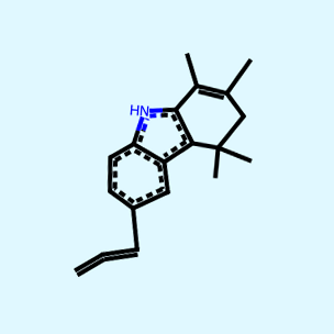 C=C=Cc1ccc2[nH]c3c(c2c1)C(C)(C)CC(C)=C3C